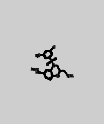 CC(=O)NCC1CN(S(=O)(=O)c2cc(Cl)cc(C#N)c2)c2cc(NC(=O)O)ccc2O1